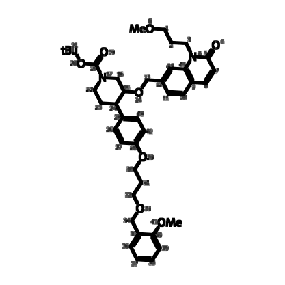 COCCCn1c(=O)ccc2ccc(COC3CN(C(=O)OC(C)(C)C)CCC3c3ccc(OCCCOCc4ccccc4OC)cc3)cc21